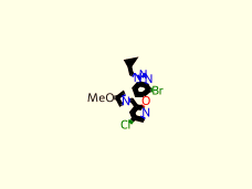 COC1CN(Cc2cc(Cl)cnc2Oc2ccc3c(nnn3CC3CC3)c2Br)C1